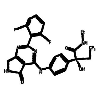 CCNC(=O)[C@](O)(CC(F)(F)F)c1ccc(Nc2nc(-c3c(F)cccc3F)nc3c2C(=O)NC3)cc1